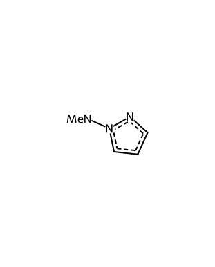 [CH2]Nn1cccn1